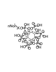 CCCCCCCC[CH2][K].O=P(O)(O)O[C@H]1[C@H](OP(=O)(O)O)[C@@H](OP(=O)(O)O)[C@H](OP(=O)(O)O)[C@@H](OP(=O)(O)O)[C@H]1OP(=O)(O)O